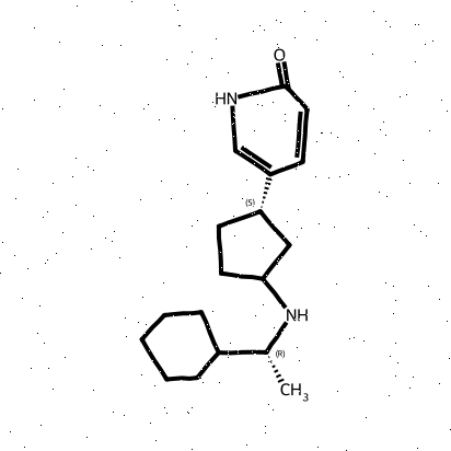 C[C@@H](NC1CC[C@H](c2ccc(=O)[nH]c2)C1)C1CCCCC1